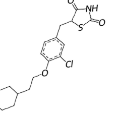 O=C1NC(=O)C(Cc2ccc(OCCC3CCCCC3)c(Cl)c2)S1